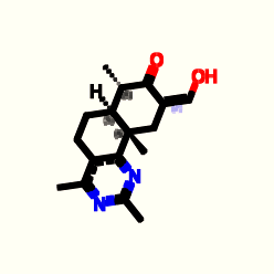 Cc1nc(C)c2c(n1)[C@@]1(C)C/C(=C/O)C(=O)[C@@H](C)[C@@H]1CC2